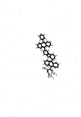 C=C/C=C(C#N)\C(=C/C)c1c2ccccc2c(-c2cccc3c2sc2ccc(-c4c5ccccc5c(-c5ccccc5)c5ccccc45)cc23)c2ccccc12